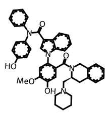 COc1cc(-n2cc(C(=O)N(c3ccccc3)c3ccc(O)cc3)c3ccccc32)c(C(=O)N2Cc3ccccc3C[C@H]2CN2CCCCC2)cc1O